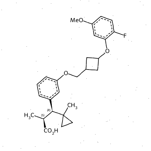 COc1ccc(F)c(OC2CC(COc3cccc([C@H]([C@H](C)C(=O)O)C4(C)CC4)c3)C2)c1